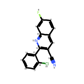 N#Cc1cc2ccc(F)cc2nc1-c1ccccc1Cl